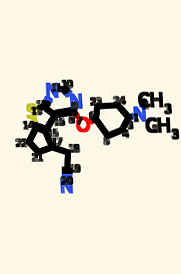 CN(C)C1CCC(Oc2ncnc3sc4c(c23)C(CC#N)CC4)CC1